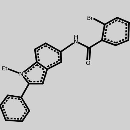 CCn1c(-c2ccccc2)cc2cc(NC(=O)c3ccccc3Br)ccc21